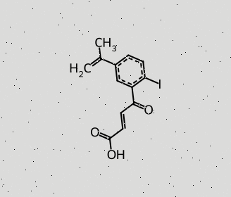 C=C(C)c1ccc(I)c(C(=O)/C=C/C(=O)O)c1